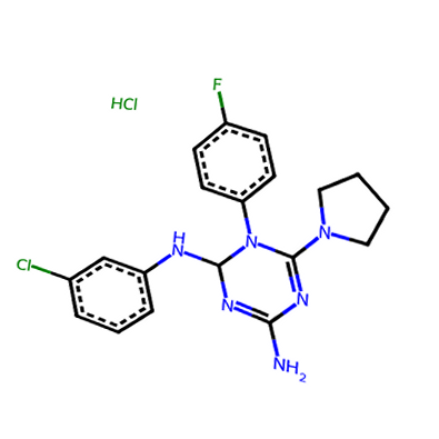 Cl.NC1=NC(Nc2cccc(Cl)c2)N(c2ccc(F)cc2)C(N2CCCC2)=N1